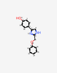 Oc1ccc(-c2c[nH]c(COc3ccccc3)n2)cc1